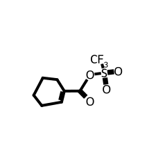 O=C(OS(=O)(=O)C(F)(F)F)C1=CCCCC1